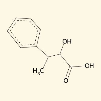 CC(c1ccccc1)C(O)C(=O)O